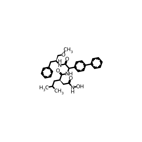 COC[C@H](Cc1ccccc1)NC(=O)C(NC(=O)[C@@H](CC(=O)NO)CC(C)C)c1ccc(-c2ccccc2)cc1